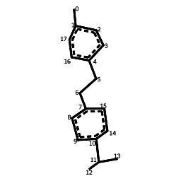 Cc1ccc(CCc2ccc(C(C)C)cc2)cc1